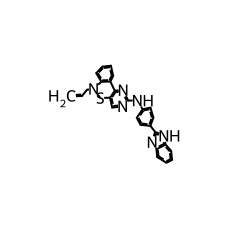 C=CCN1Sc2cnc(Nc3ccc(-c4nc5ccccc5[nH]4)cc3)nc2-c2ccccc21